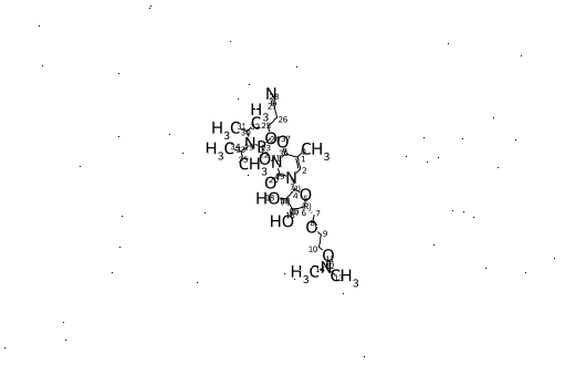 Cc1cn([C@@H]2O[C@H](COCCON(C)C)[C@@H](O)[C@H]2O)c(=O)n(OP(OCCC#N)N(C(C)C)C(C)C)c1=O